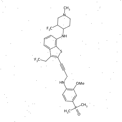 COc1cc(P(C)(C)=O)ccc1NCC#Cc1sc2c(NC3CCN(C)CC3C(F)(F)F)cccc2c1CC(F)(F)F